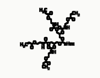 C=CC(=O)OCCNC(=O)OCC(COC(CCCCCC)OCC(COC(=O)NCCOC(=O)C=C)OC(=O)NCCOC(=O)C=C)OC(=O)NCCOC(=O)C=C